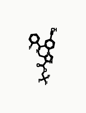 C#Cc1ccc2c(c1)C(c1ccccc1F)=NCc1c(C(=O)OCC(F)(F)F)ncn1-2